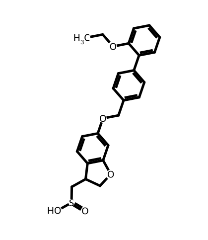 CCOc1ccccc1-c1ccc(COc2ccc3c(c2)OCC3CS(=O)O)cc1